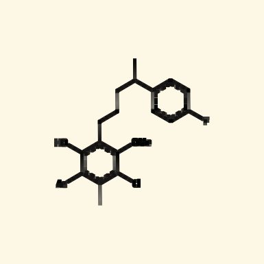 COc1c(Cl)c(C)c(C(C)=O)c(O)c1CCCC(C)c1ccc(F)cc1